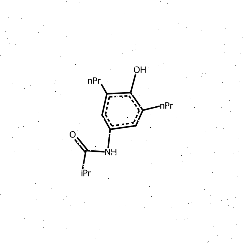 CCCc1cc(NC(=O)C(C)C)cc(CCC)c1O